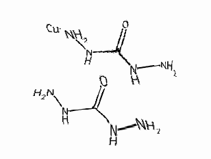 NNC(=O)NN.NNC(=O)NN.[Cu]